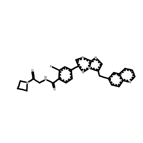 O=C(NCC(=O)N1CCC1)c1ccc(-c2cnc3ncc(Cc4ccc5ncccc5c4)n3n2)cc1F